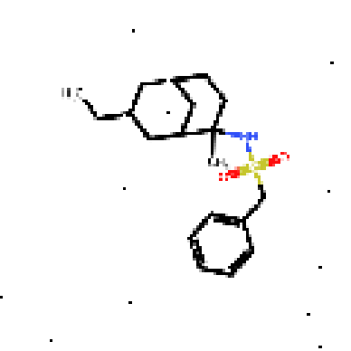 CCC1CC2CCC(C)(NS(=O)(=O)Cc3ccccc3)C(C1)C2